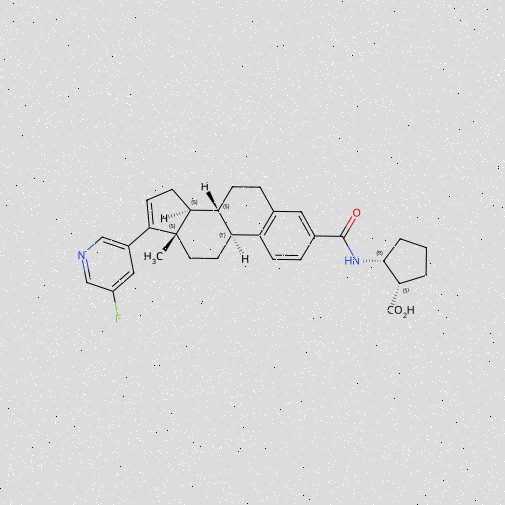 C[C@]12CC[C@@H]3c4ccc(C(=O)N[C@@H]5CCC[C@@H]5C(=O)O)cc4CC[C@H]3[C@@H]1CC=C2c1cncc(F)c1